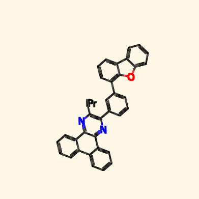 CC(C)c1nc2c3ccccc3c3ccccc3c2nc1-c1cccc(-c2cccc3c2oc2ccccc23)c1